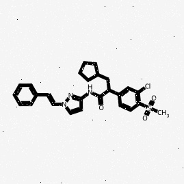 CS(=O)(=O)c1ccc(C(CC2CCCC2)C(=O)Nc2ccn(C=Cc3ccccc3)n2)cc1Cl